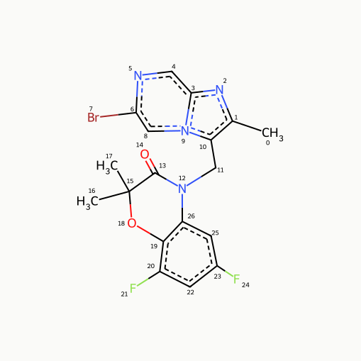 Cc1nc2cnc(Br)cn2c1CN1C(=O)C(C)(C)Oc2c(F)cc(F)cc21